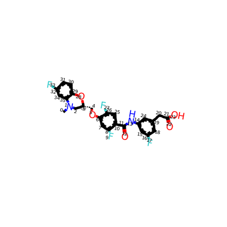 CN1C[C@@H](COc2cc(F)c(C(=O)Nc3cc(F)cc(CC(=O)O)c3)cc2F)Oc2ccc(F)cc21